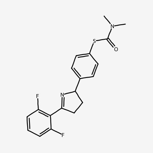 CN(C)C(=O)Sc1ccc(C2CCC(c3c(F)cccc3F)=N2)cc1